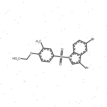 Cc1cc(S(=O)(=O)n2cc(C(C)C)c3cc(Br)ccc32)ccc1OCC(=O)O